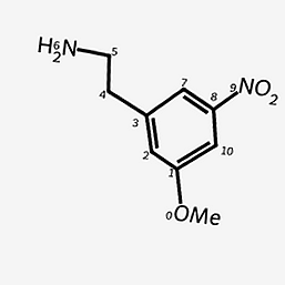 COc1cc(CCN)cc([N+](=O)[O-])c1